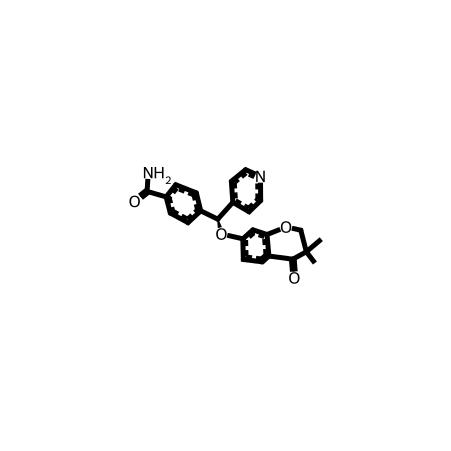 CC1(C)COc2cc(O[C@H](c3ccncc3)c3ccc(C(N)=O)cc3)ccc2C1=O